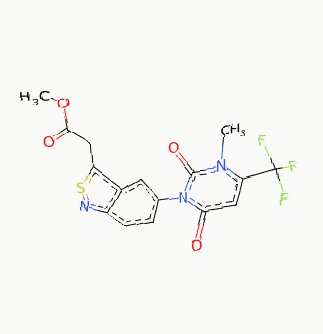 COC(=O)Cc1snc2ccc(-n3c(=O)cc(C(F)(F)F)n(C)c3=O)cc12